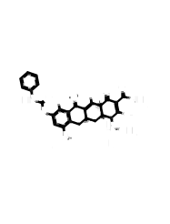 CN(C)c1cc(NC(=O)Nc2ccccc2)c(O)c2c1C[C@H]1C[C@H]3C(N(C)C)C(O)=C(C(N)=O)C(=O)[C@@]3(O)C(O)=C1C2=O